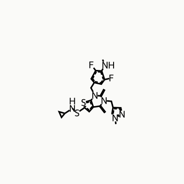 C=C1c2cc(SNC3CC3)sc2N(Cc2cc(F)c(NC)c(F)c2)C(=C)N1Cc1cnn(C)c1